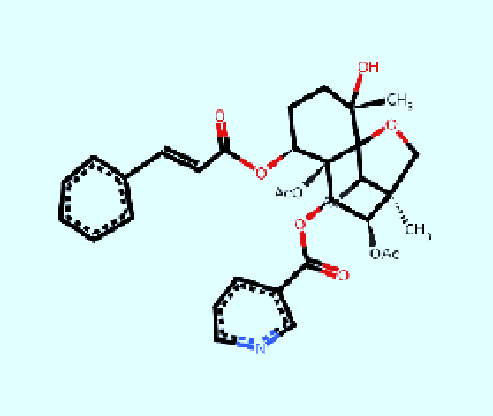 CC(=O)O[C@H]1[C@@H](OC(=O)c2cccnc2)[C@]2(OC(C)=O)[C@@H](OC(=O)/C=C/c3ccccc3)CC[C@](C)(O)C23OC[C@]1(C)C3C(C)=O